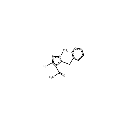 Cn1nc(C(F)(F)F)c(C(N)=O)c1Cc1ccccc1